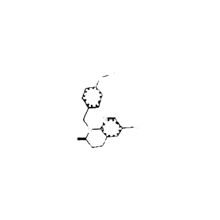 COc1ccc(CN2C(=O)CCc3cc(Br)cnc32)cc1